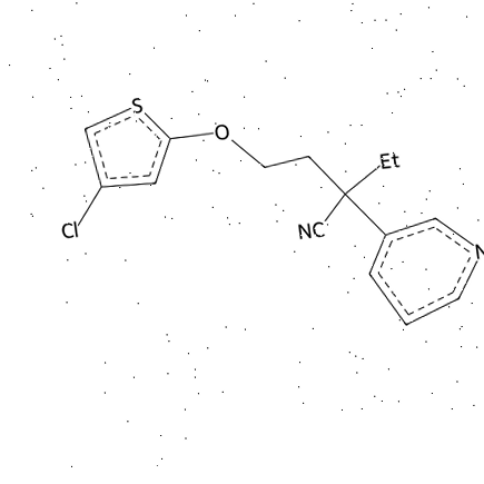 CCC(C#N)(CCOc1cc(Cl)cs1)c1cccnc1